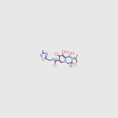 Cc1noc(CNC(=O)c2cn3c(c(O)c2=O)C(O)N2[C@@H](C)CO[C@@H]2C3)n1